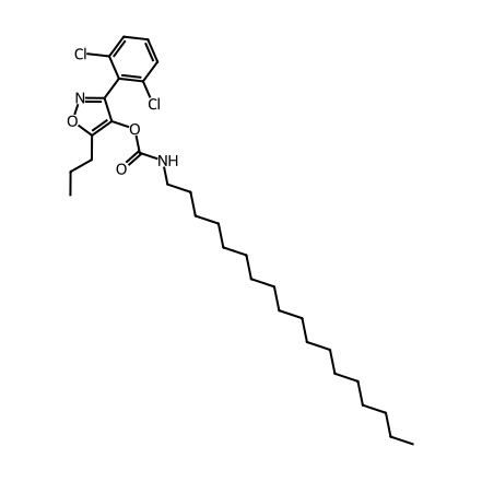 CCCCCCCCCCCCCCCCCCNC(=O)Oc1c(-c2c(Cl)cccc2Cl)noc1CCC